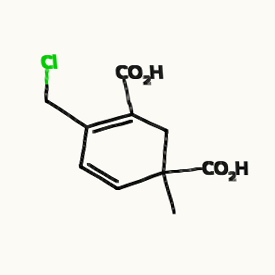 CC1(C(=O)O)C=CC(CCl)=C(C(=O)O)C1